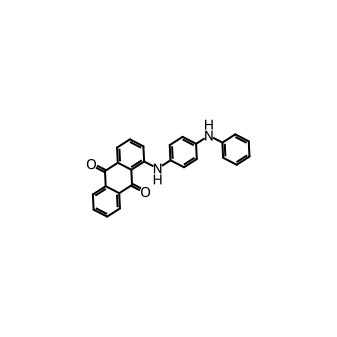 O=C1c2ccccc2C(=O)c2c(Nc3ccc(Nc4ccccc4)cc3)cccc21